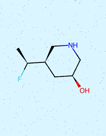 C[C@H](F)[C@H]1CNC[C@@H](O)C1